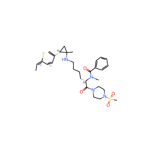 C=C(/C=C\C(F)=C/C)[C@@H]1CC1(C)NCCCC[C@@H](C(=O)N1CCN(S(C)(=O)=O)CC1)N(C)C(=O)c1ccccc1